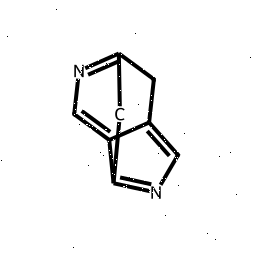 C1=C2CC3=NC=C2C(=N1)C3